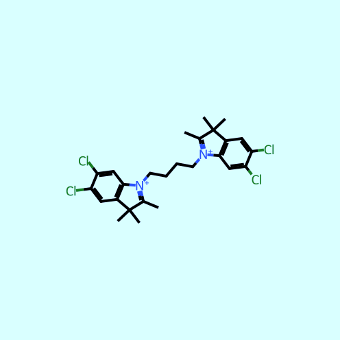 CC1=[N+](CCCC[N+]2=C(C)C(C)(C)c3cc(Cl)c(Cl)cc32)c2cc(Cl)c(Cl)cc2C1(C)C